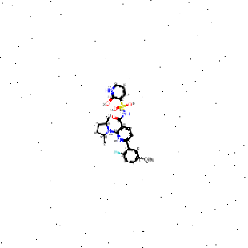 CC(C)COc1ccc(F)c(-c2ccc(C(=O)NS(=O)(=O)c3ccc[nH]c3=O)c(N3C(C)CC[C@@H]3C)n2)c1